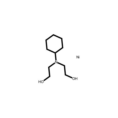 OCCN(CCO)C1CCCCC1.[Ni]